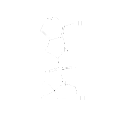 CCN(C(C)(C)C)S(=O)(=O)c1nc2c(C)cccc2s1